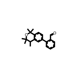 CC1c2cc(-c3ccccc3C=O)ccc2C(C)(C)OC1(C)C